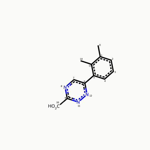 Cc1cccc(-c2cnc(C(=O)O)nn2)c1C